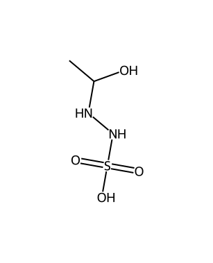 CC(O)NNS(=O)(=O)O